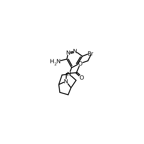 CCOC(=O)CN1C2CCC1CN(c1cc(Br)nnc1N)C2